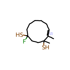 C/C1=C/CCCCCC(F)(S)CCC1(C)S